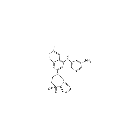 Cc1ccc2nc(N3CCS(=O)(=O)c4ccccc4C3)cc(Nc3cccc(N)c3)c2c1